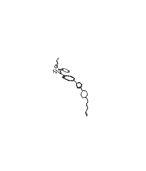 C=CCCCC1CCC(c2ccc(-c3ccc(NC(=O)OCCC)cc3)cc2)CC1